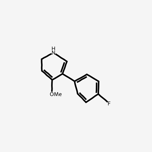 COC1=CCNC=C1c1ccc(F)cc1